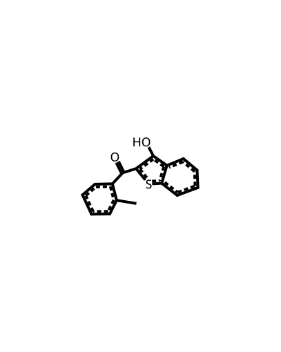 Cc1ccccc1C(=O)c1sc2ccccc2c1O